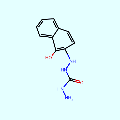 NNC(=O)NNc1ccc2ccccc2c1O